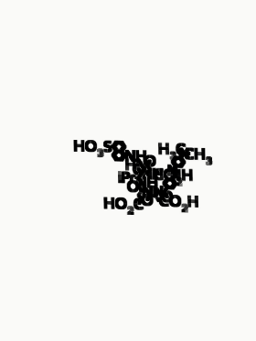 CC(C)[C@H](NC(=O)[C@H](CCC(=O)O)NC(=O)[C@H](CC(=O)O)NC(=O)c1ccc(N=Nc2ccc(N(C)C)cc2)cc1)C(=O)N[C@@H](CC(=O)O)C(=O)NCCNc1cccc2c(S(=O)(=O)O)cccc12